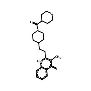 Cc1c(CCC2CCN(C(=O)C3CCOCC3)CC2)[nH]c2ccccc2c1=O